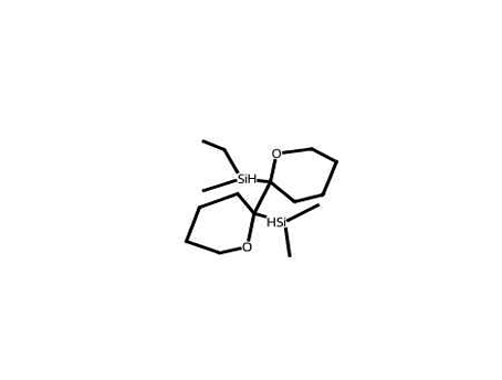 CC[SiH](C)C1(C2([SiH](C)C)CCCCO2)CCCCO1